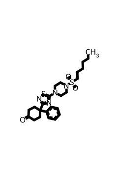 CCCCCCS(=O)(=O)N1CCN(c2nc(C3(c4ccccc4)CCC(=O)CC3)ns2)CC1